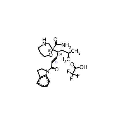 CC(C)C[C@@H](/C=C/C(=O)N1CCc2ccccc21)[C@@]1(C(N)=O)CNCCCO1.O=C(O)C(F)(F)F